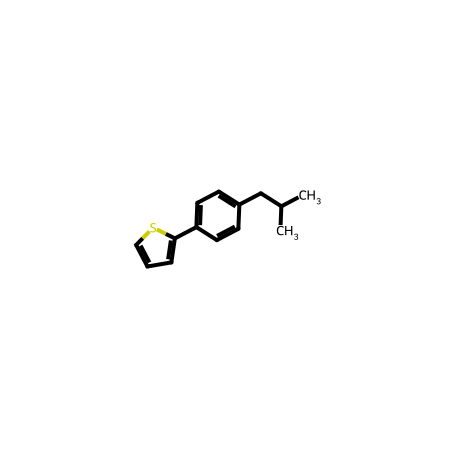 CC(C)Cc1ccc(-c2cccs2)cc1